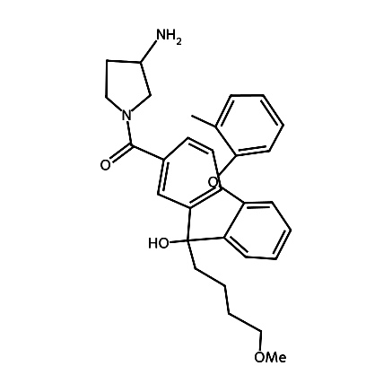 COCCCCC(O)(c1cccc(C(=O)N2CCC(N)C2)c1)c1ccccc1Oc1ccccc1C